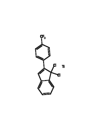 FC(F)(F)c1ccc(C2=Cc3ccccc3C2(Cl)Cl)cc1.[Ti]